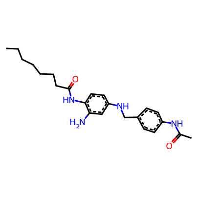 CCCCCCCC(=O)Nc1ccc(NCc2ccc(NC(C)=O)cc2)cc1N